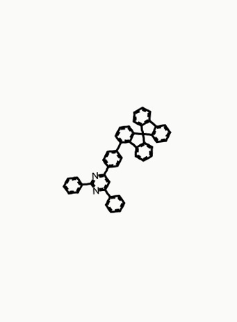 c1ccc(-c2cc(-c3ccc(-c4cccc5c4-c4ccccc4C54c5ccccc5-c5ccccc54)cc3)nc(-c3ccccc3)n2)cc1